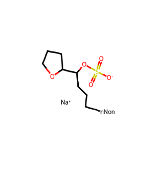 CCCCCCCCCCCCC(OS(=O)(=O)[O-])C1CCCO1.[Na+]